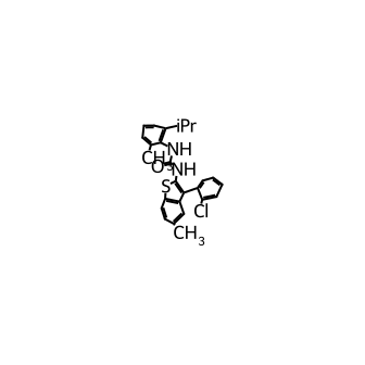 Cc1ccc2sc(NC(=O)Nc3c(C)cccc3C(C)C)c(-c3ccccc3Cl)c2c1